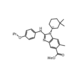 COC(=O)c1cc2nc(Nc3ccc(OC(C)C)cc3)n([C@H]3CCCC(C)(C)C3)c2cc1C